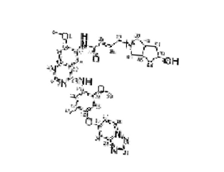 COc1cc2ncnc(Nc3cc(C)c(Oc4ccn5ncnc5c4)cc3OC)c2cc1NC(=O)/C=C/CN1CC2CC(O)CC2C1